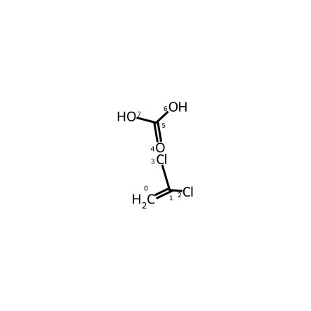 C=C(Cl)Cl.O=C(O)O